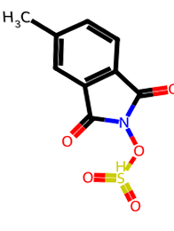 Cc1ccc2c(c1)C(=O)N(O[SH](=O)=O)C2=O